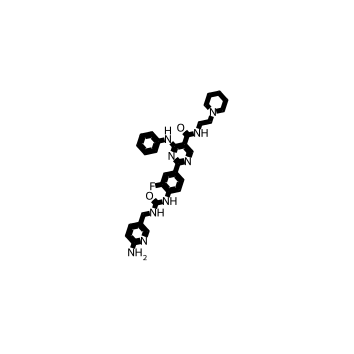 Nc1ccc(CNC(=O)Nc2ccc(-c3ncc(C(=O)NCCN4CCCCC4)c(Nc4ccccc4)n3)cc2F)cn1